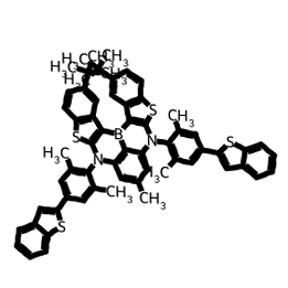 Cc1cc2c3c(c1)N(c1c(C)cc(-c4cc5ccccc5s4)cc1C)c1sc4ccc(C(C)(C)C)cc4c1B3c1c(sc3ccc(C(C)(C)C)cc13)N2c1c(C)cc(-c2cc3ccccc3s2)cc1C